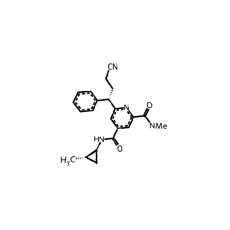 CNC(=O)c1cc(C(=O)N[C@H]2C[C@@H]2C)cc([C@@H](CCC#N)c2ccccc2)n1